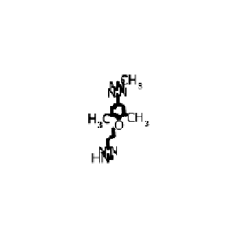 Cc1cc(-c2nnn(C)n2)cc(C)c1OCCCc1nc[nH]n1